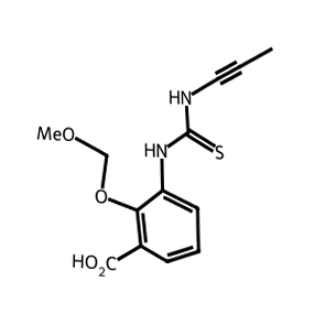 CC#CNC(=S)Nc1cccc(C(=O)O)c1OCOC